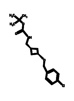 CC(C)(C)OC(=O)NC[C@H]1C[C@@H](OCc2ccc(Cl)cc2)C1